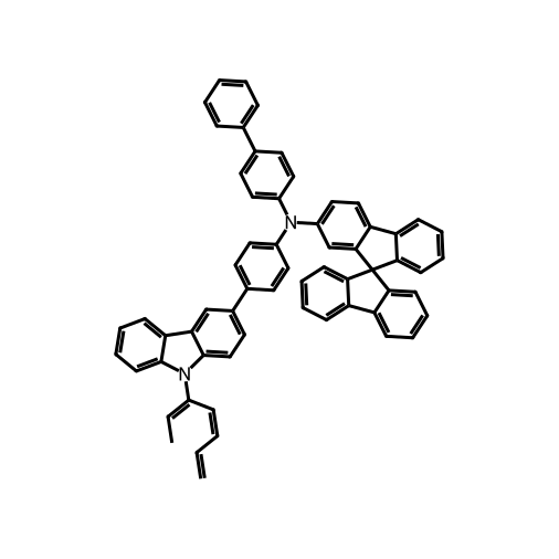 C=C/C=C\C(=C/C)n1c2ccccc2c2cc(-c3ccc(N(c4ccc(-c5ccccc5)cc4)c4ccc5c(c4)C4(c6ccccc6-c6ccccc64)c4ccccc4-5)cc3)ccc21